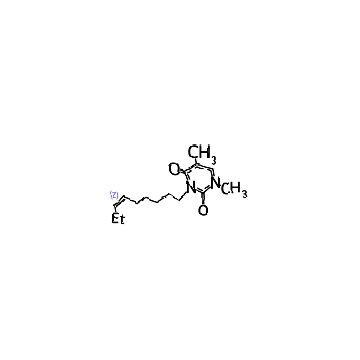 CC/C=C\CCCCCn1c(=O)c(C)cn(C)c1=O